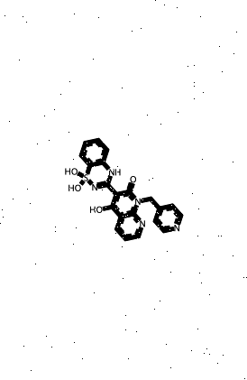 O=c1c(C2=NS(O)(O)c3ccccc3N2)c(O)c2cccnc2n1Cc1ccncc1